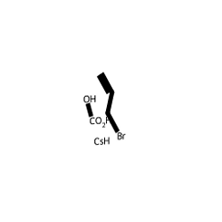 C=CCBr.O=C(O)O.[CsH]